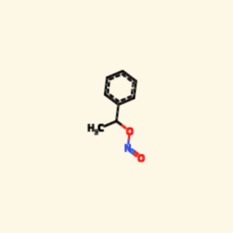 CC(ON=O)c1ccccc1